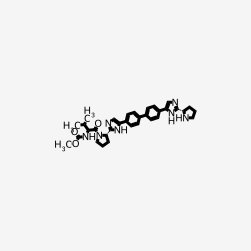 COC(=O)NC(C(=O)N1CCC[C@H]1c1ncc(-c2ccc(-c3ccc(-c4cnc([C@@H]5CCCN5)[nH]4)cc3)cc2)[nH]1)C(C)C